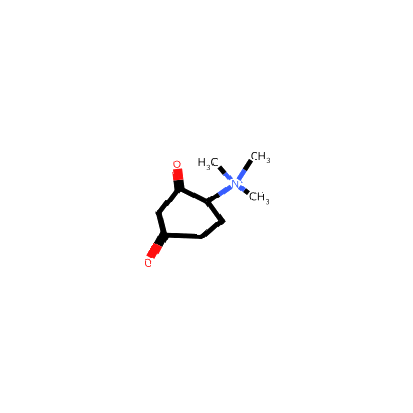 C[N+](C)(C)C1CCC(=O)CC1=O